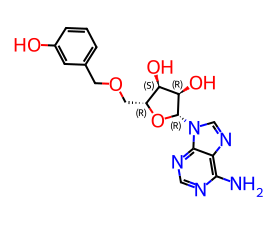 Nc1ncnc2c1ncn2[C@@H]1O[C@H](COCc2cccc(O)c2)[C@@H](O)[C@H]1O